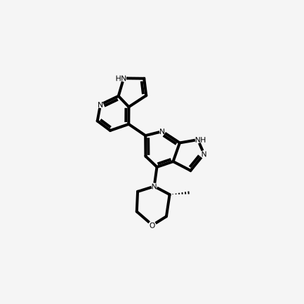 C[C@@H]1COCCN1c1cc(-c2ccnc3[nH]ccc23)nc2[nH]ncc12